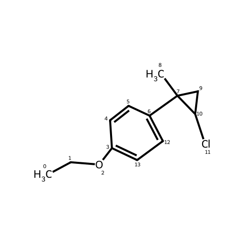 CCOc1ccc(C2(C)CC2Cl)cc1